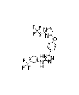 FC(F)(F)Sc1nccc(Oc2ccc(-c3nnc(Nc4cccc(C(F)(F)F)c4)[nH]3)cc2)n1